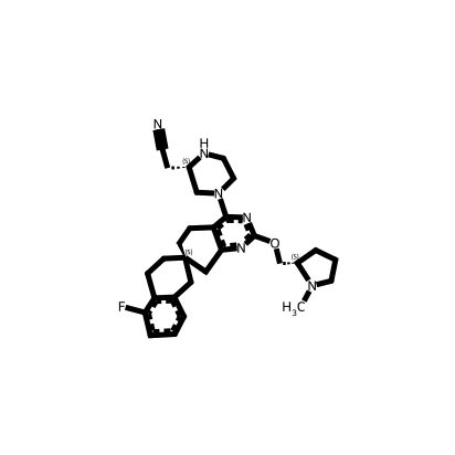 CN1CCC[C@H]1COc1nc2c(c(N3CCN[C@@H](CC#N)C3)n1)CC[C@@]1(CCc3c(F)cccc3C1)C2